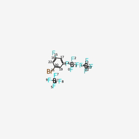 F[B-](F)(F)F.F[B-](F)(F)F.F[B-](F)(F)F.Fc1cccc(Br)c1